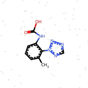 Cc1cccc(NC(=O)O)c1-n1ncnn1